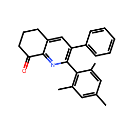 Cc1cc(C)c(-c2nc3c(cc2-c2ccccc2)CCCC3=O)c(C)c1